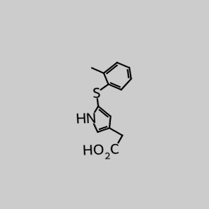 Cc1ccccc1Sc1cc(CC(=O)O)c[nH]1